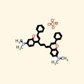 CN(C)c1ccc2c(c1)OC(c1ccccc1)=C/C2=C\C=C\c1cc(-c2ccccc2)[o+]c2cc(N(C)C)ccc12.[O-][Cl+3]([O-])([O-])[O-]